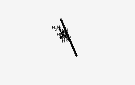 CCCCCCCCCCCCCCCC(=O)OC(CCCCCCCCCCCCCCC)CC(=O)N[C@H](C(=O)N[C@@H](CCCCN)C(=O)O)C(C)C